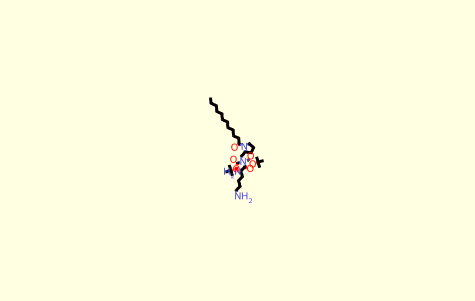 CCCCCCCCCCCC(=O)N1CCCC1C[N+](C(=O)OC(C)(C)C)(C(=O)OC(C)(C)C)C(=O)C(N)CCCCN